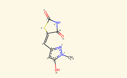 Cn1nc(C=C2SC(=O)NC2=O)cc1O